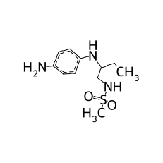 CCC(CNS(C)(=O)=O)Nc1ccc(N)cc1